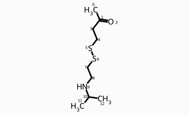 CC(=O)CCSSCCNC(C)C